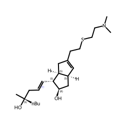 CCCC[C@](C)(O)C/C=C/[C@@H]1[C@H]2CC(CCSCCN(C)C)=C[C@H]2C[C@H]1O